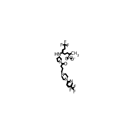 C=C(CC/C(=C\CC(F)(F)F)N[C@@H]1CCN(C(=O)CCCN2CCN(c3ccc(C(F)(F)F)cn3)CC2)C1)[N+](=O)[O-]